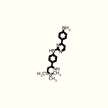 C[C@H](CC(=N)c1ccc(Nc2nccc(-c3ccc(N)cc3)n2)cc1)N(C)C